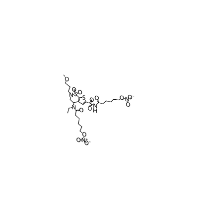 CCN(C(=O)CCCCCO[N+](=O)[O-])[C@H]1CN(CCCOC)S(=O)(=O)c2sc(S(=O)(=O)NC(=O)CCCCCO[N+](=O)[O-])cc21